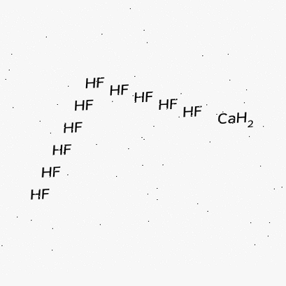 F.F.F.F.F.F.F.F.F.F.[CaH2]